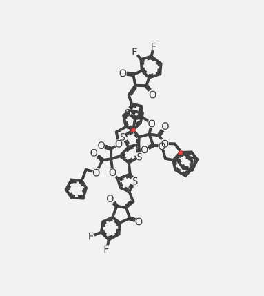 O=C1C(=Cc2cc3c(s2)-c2sc4c5c(sc4c2C(C(=O)OCc2ccccc2)(C(=O)OCc2ccccc2)O3)-c2sc(/C=C3\C(=O)c4ccc(F)c(F)c4C3=O)cc2OC5(C(=O)OCc2ccccc2)C(=O)OCc2ccccc2)C(=O)c2cc(F)c(F)cc21